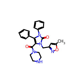 Cc1cc(Cn2c(C(=O)N3CCNCC3)c(-c3ccccc3)n(-c3ccccc3)c2=O)no1